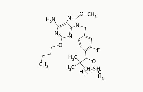 CCCCOc1nc(N)c2nc(OC)n(Cc3ccc(C(O[SiH](C)C)C(C)(C)C)c(F)c3)c2n1